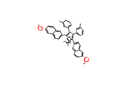 COc1ccc2cc(C3=C(c4cccc(C)c4)C(c4cccc(C)c4)=C(c4ccc5cc(OC)ccc5c4)[Si]3(C)C)ccc2c1